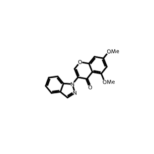 COc1cc(OC)c2c(=O)c(-n3ncc4ccccc43)coc2c1